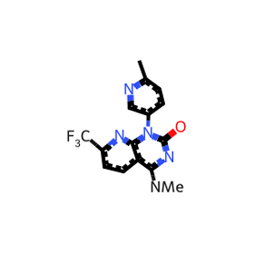 CNc1nc(=O)n(-c2ccc(C)nc2)c2nc(C(F)(F)F)ccc12